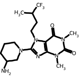 CC(CCn1c(N2CCCC(N)C2)nc2c1c(=O)n(C)c(=O)n2C)C(F)(F)F